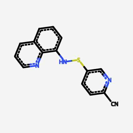 N#Cc1ccc(SNc2cccc3cccnc23)cn1